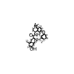 CC(=O)N1CC[C@@H](NC(=O)[C@@H](N)Cc2c(C)cc(O)cc2C)c2cc(Oc3ccccc3)ccc21